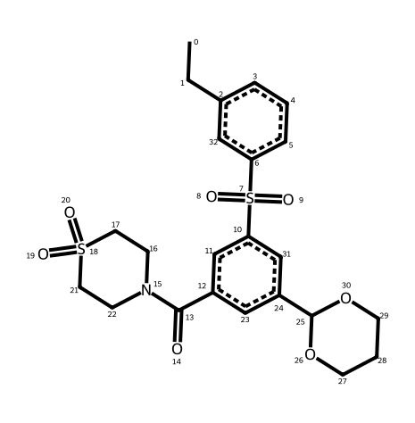 CCc1cccc(S(=O)(=O)c2cc(C(=O)N3CCS(=O)(=O)CC3)cc(C3OCCCO3)c2)c1